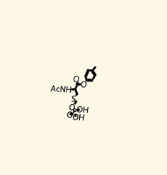 CC(=O)NC(CSCOP(=O)(O)O)C(=O)Oc1ccc(C)cc1